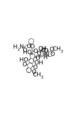 COc1cccc2c1C(=O)c1c(O)c3c(c(O)c1C2=O)C[C@@](O)(C(=O)COC1(OCC(N)=O)CCCCC1)C[C@@H]3O[C@H]1C[C@H]2[C@H](OC3C(OC)OCCN32)[C@H](C)O1